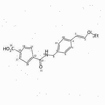 CCOC=Cc1ccc(CNC(=O)c2ccc(C(=O)O)cc2)cc1